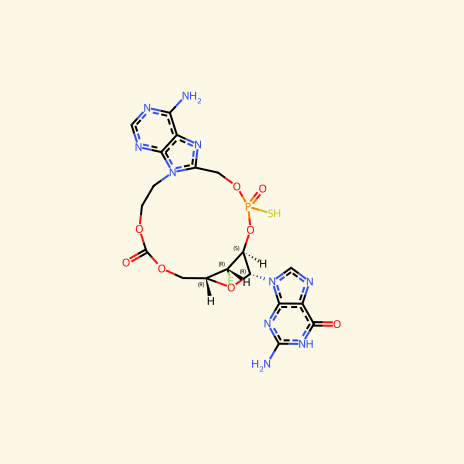 Nc1nc2c(ncn2[C@@H]2O[C@@H]3COC(=O)OCCn4c(nc5c(N)ncnc54)COP(=O)(S)O[C@@H]2[C@@H]3F)c(=O)[nH]1